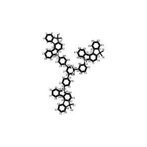 CC1(C)c2ccccc2-c2c1ccc1c2c2ccccc2n1-c1ccc(-c2cc(-c3ccc(-n4c5ccccc5c5c6c(ccc54)C(C)(C)c4ccccc4-6)cc3)nc(-c3cccc(-n4c5ccccc5c5c6c(ccc54)C(C)(C)c4ccccc4-6)c3)n2)cc1